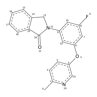 Cc1ccc(Oc2cc(F)cc(N3Cc4ccccc4C3=O)c2)cn1